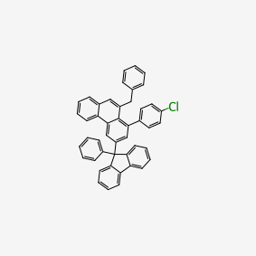 Clc1ccc(-c2cc(C3(c4ccccc4)c4ccccc4-c4ccccc43)cc3c2c(Cc2ccccc2)cc2ccccc23)cc1